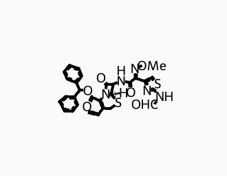 C=CC1=C(C(=O)OC(c2ccccc2)c2ccccc2)N2C(=O)C(NC(=O)C(=NOC)c3csc(NC=O)n3)[C@@H]2SC1